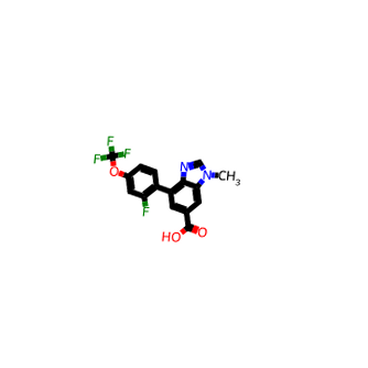 Cn1cnc2c(-c3ccc(OC(F)(F)F)cc3F)cc(C(=O)O)cc21